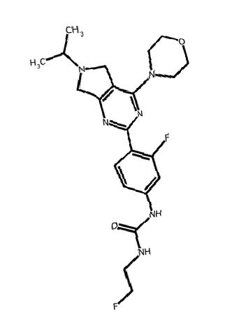 CC(C)N1Cc2nc(-c3ccc(NC(=O)NCCF)cc3F)nc(N3CCOCC3)c2C1